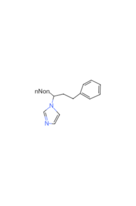 CCCCCCCCCC(CCc1ccccc1)n1ccnc1